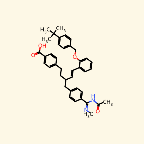 C/N=C(\NC(C)=O)c1ccc(CC(/C=C/c2ccccc2OCc2ccc(C(C)(C)C)cc2)CCc2ccc(C(=O)O)cc2)cc1